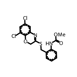 COC(=O)Nc1ccccc1CSC1=Nc2cc(Cl)cc(Cl)c2OC1